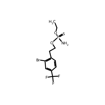 CCOP(N)(=S)OCCc1ccc(C(F)(F)F)cc1Br